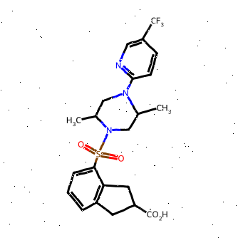 CC1CN(S(=O)(=O)c2cccc3c2CC(C(=O)O)C3)C(C)CN1c1ccc(C(F)(F)F)cn1